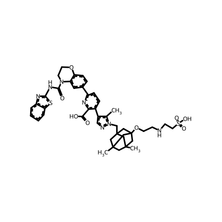 Cc1c(-c2ccc(-c3ccc4c(c3)N(C(=O)Nc3nc5ccccc5s3)CCO4)nc2C(=O)O)cnn1CC12CC3(C)CC(C)(C1)CC(OCCNCCS(=O)(=O)O)(C3)C2